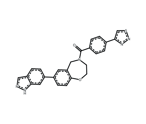 O=C(c1ccc(-c2csnn2)cc1)N1CCOc2ccc(-c3ccc4cn[nH]c4c3)cc2C1